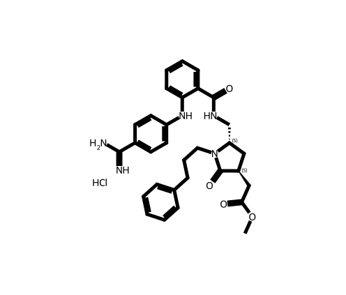 COC(=O)C[C@@H]1C[C@@H](CNC(=O)c2ccccc2Nc2ccc(C(=N)N)cc2)N(CCCc2ccccc2)C1=O.Cl